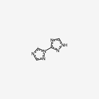 [c]1ncnn1-c1nc[nH]n1